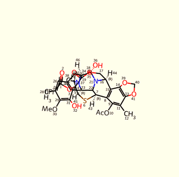 CCCC(=O)O[C@H]1CS[C@@H]2c3c(OC(C)=O)c(C)c4c(c3[C@H](COC1=O)N1C2[C@H]2c3c(cc(C)c(OC)c3O)C[C@@H]([C@@H]1O)N2C)OCO4